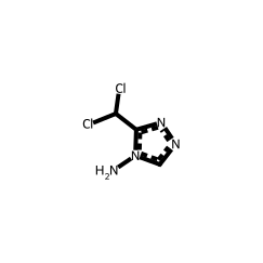 Nn1cnnc1C(Cl)Cl